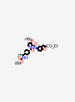 CCCCO[C@@H]1CCN(C(=O)[C@H]2CC[C@H]([C@@H](CF)NC(=O)OC(C)(C)C)CC2)[C@@H]1C(=O)Nc1ccc2oc(C(=O)OCC)cc2c1